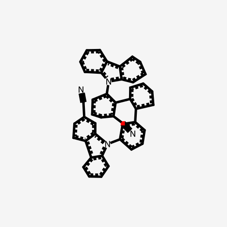 N#Cc1ccc2c3ccccc3n(-c3cccc(-c4ccccc4-c4c(C#N)cccc4-n4c5ccccc5c5ccccc54)c3)c2c1